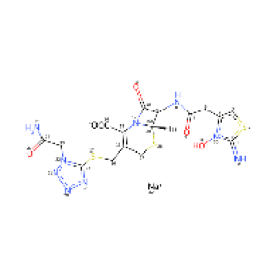 N=c1scc(CC(=O)NC2C(=O)N3C(C(=O)[O-])=C(CSc4nnnn4CC(N)=O)CS[C@@H]23)n1O.[Na+]